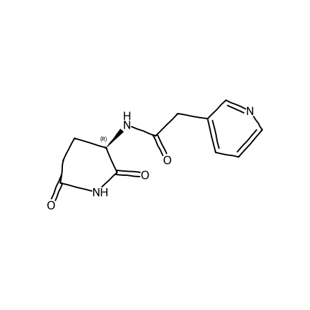 O=C1CC[C@@H](NC(=O)Cc2cccnc2)C(=O)N1